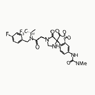 CNC(=O)Nc1ccc2c(c1)S(=O)(=O)C(=O)C21NCN(CC(=O)N(Cc2ccc(F)cc2)[C@@H](C)C(F)(F)F)C1=O